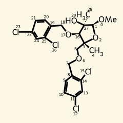 CO[C@H]1O[C@](C)(COCc2ccc(Cl)cc2Cl)[C@@H](OCc2ccc(Cl)cc2Cl)[C@@]1(C)O